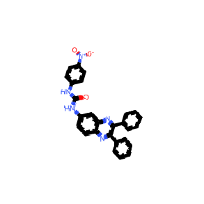 O=C(Nc1ccc([N+](=O)[O-])cc1)Nc1ccc2nc(-c3ccccc3)c(-c3ccccc3)nc2c1